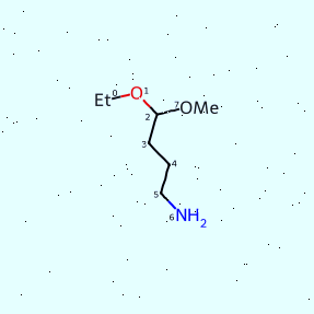 CCOC(CCCN)OC